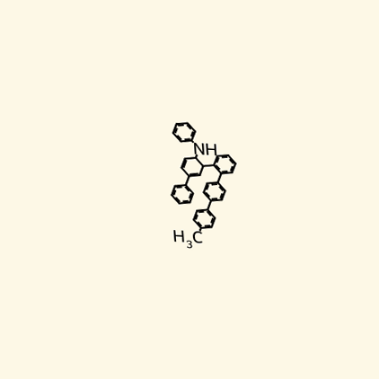 Cc1ccc(-c2ccc(-c3ccccc3C3C=C(c4ccccc4)C=CC3Nc3ccccc3)cc2)cc1